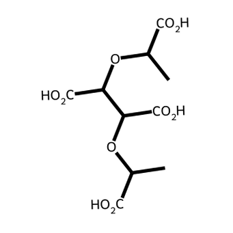 CC(OC(C(=O)O)C(OC(C)C(=O)O)C(=O)O)C(=O)O